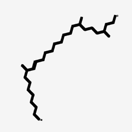 [CH2]CCCCCCCC(C)C=CCCCCCCCCC(C)CCCC(C)CC[CH2]